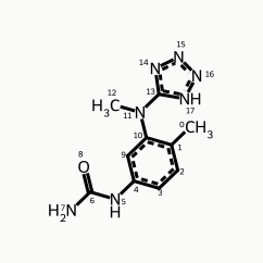 Cc1ccc(NC(N)=O)cc1N(C)c1nnn[nH]1